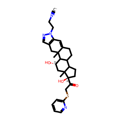 [C-]#[N+]CCn1ncc2c1C=C1CCC3C([C@@H](O)CC4(C)C3CC[C@]4(O)C(=O)CSc3ccccn3)C1(C)C2